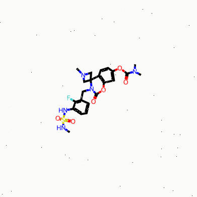 CNS(=O)(=O)Nc1cccc(CN2C(=O)Oc3cc(OC(=O)N(C)C)ccc3C23CN(C)C3)c1F